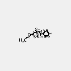 C=CCOC(=S)CC(C)(C)CC(Cl)c1ccccc1